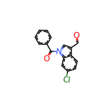 O=Cc1cn(C(=O)c2ccccc2)c2cc(Cl)ccc12